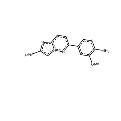 COc1cc(-c2ccc3nc(NC(C)=O)cn3n2)cnc1N